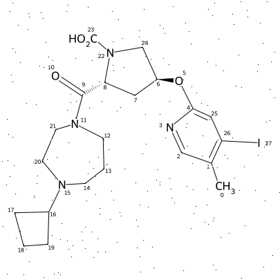 Cc1cnc(O[C@H]2C[C@H](C(=O)N3CCCN(C4CCC4)CC3)N(C(=O)O)C2)cc1I